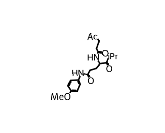 COc1ccc(NC(=O)CCC(NC(=O)CCC(C)=O)C(=O)C(C)C)cc1